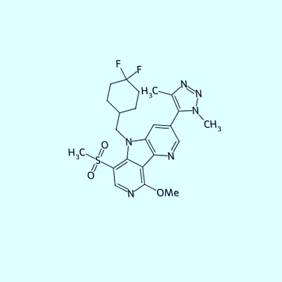 COc1ncc(S(C)(=O)=O)c2c1c1ncc(-c3c(C)nnn3C)cc1n2CC1CCC(F)(F)CC1